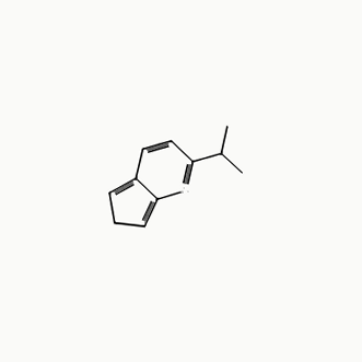 CC(C)c1ccc2c(n1)=CCC=2